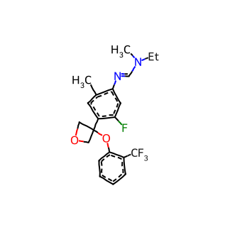 CCN(C)C=Nc1cc(F)c(C2(Oc3ccccc3C(F)(F)F)COC2)cc1C